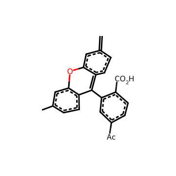 C=c1ccc2c(c1)Oc1cc(C)ccc1C=2c1cc(C(C)=O)ccc1C(=O)O